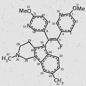 COc1ccc(C(F)=C(c2ccc(OC)nc2)n2c3c(c4cc(C)ccc42)CN(C)CC3)cn1